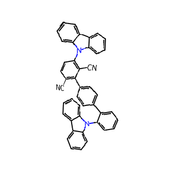 N#Cc1ccc(-n2c3ccccc3c3ccccc32)c(C#N)c1-c1ccc(-c2ccccc2-n2c3ccccc3c3ccccc32)cc1